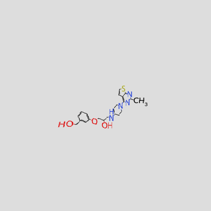 Cc1nc(N2CCC(NCC(O)COc3cccc(CO)c3)CC2)c2ccsc2n1